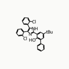 CC(C)(C)c1cc(-c2ccccc2)c(O)c(-c2nc(-c3ccccc3Cl)c(-c3ccccc3Cl)[nH]2)c1